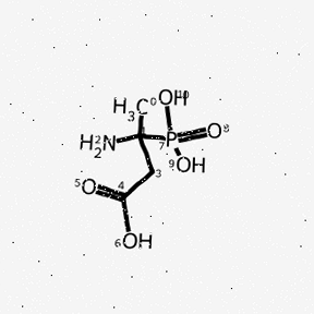 CC(N)(CC(=O)O)P(=O)(O)O